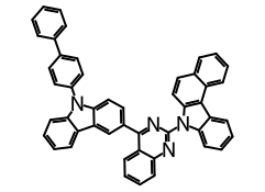 c1ccc(-c2ccc(-n3c4ccccc4c4cc(-c5nc(-n6c7ccccc7c7c8ccccc8ccc76)nc6ccccc56)ccc43)cc2)cc1